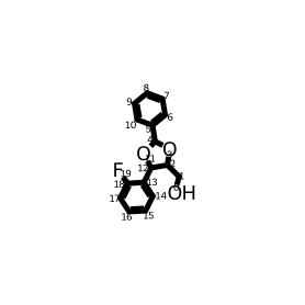 OCC1OC(c2ccccc2)OC1c1ccccc1F